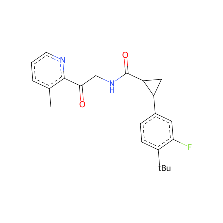 Cc1cccnc1C(=O)CNC(=O)C1CC1c1ccc(C(C)(C)C)c(F)c1